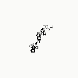 O=C(O)N1CCC(Nc2nccc3cc(OCCON4C(=O)c5ccccc5C4=O)ccc23)CC1